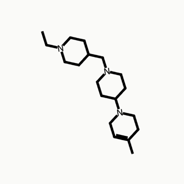 CCN1CCC(CN2CCC(N3CC=C(C)CC3)CC2)CC1